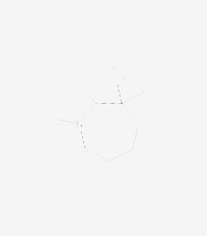 CC(C)N1CCCOC(C)(C(C)C)C1